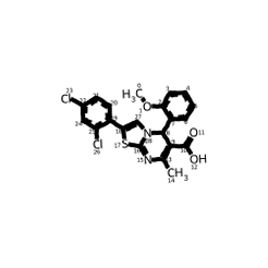 COc1ccccc1C1C(C(=O)O)=C(C)N=C2SC(c3ccc(Cl)cc3Cl)=CN21